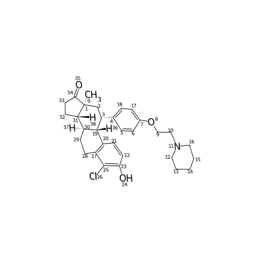 C[C@]12C[C@H](c3ccc(OCCN4CCCCC4)cc3)[C@@H]3c4ccc(O)c(Cl)c4CC[C@H]3[C@@H]1CCC2=O